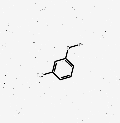 CC(C)Oc1cccc(C(F)(F)F)c1